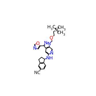 C[Si](C)(C)CCOCn1nc(-c2cnco2)c2cc(NC3CCc4cc(C#N)ccc43)ncc21